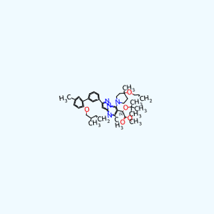 C=CCOC1(C)CCN(c2c([C@H](OC(C)(C)C)C(=O)OC)c(C)nc3cc(-c4cccc(-c5cc(C)ccc5OCC(C)C=C)c4)nn23)CC1